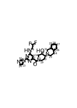 O=C(c1cc(NCC(F)F)nc(-n2ccnc2)n1)N1CCC(N2CCc3ccccc3C2)C(O)C1